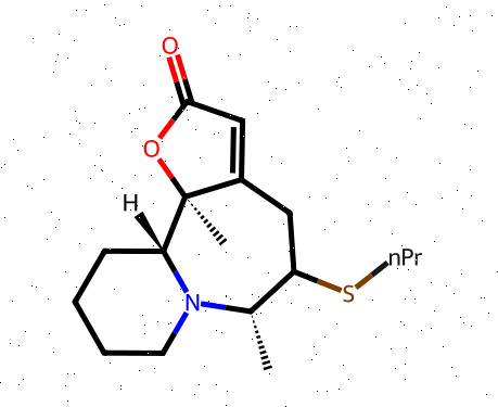 CCCSC1CC2=CC(=O)O[C@]2(C)[C@H]2CCCCN2[C@H]1C